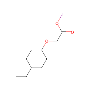 CCC1CCC(OCC(=O)OI)CC1